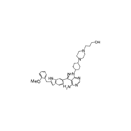 COc1ccccc1Cc1cc2ccc(-c3nn(C4CCC(N5CCN(CCCO)CC5)CC4)c4ncnc(N)c34)cc2[nH]1